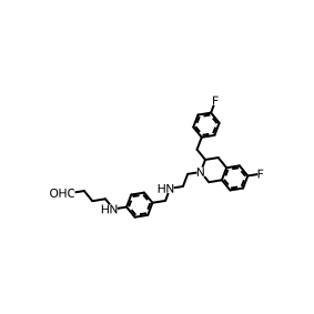 O=CCCCNc1ccc(CNCCN2Cc3ccc(F)cc3CC2Cc2ccc(F)cc2)cc1